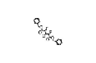 O=C(OCc1ccccc1)C(F)C(=O)C(F)C(=O)OCc1ccccc1